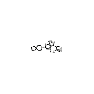 FC(F)(F)c1[nH]ncc1-c1n[nH]c2nc(N3CCC4(CCCC4)CC3)cnc12